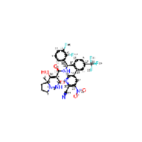 C[C@]12CCCN1NC(=O)C(C(=O)NC(c1ccc(C(F)(F)F)cc1-c1cnc(C#N)c([N+](=O)[O-])c1)c1cccc(F)c1F)=C2O